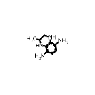 CC1CNc2c(N)ccc(N)c2N1